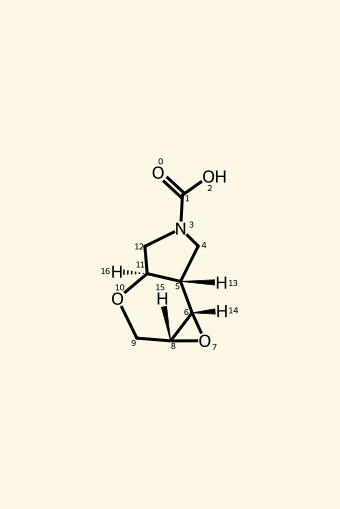 O=C(O)N1C[C@@H]2[C@@H]3O[C@@H]3CO[C@H]2C1